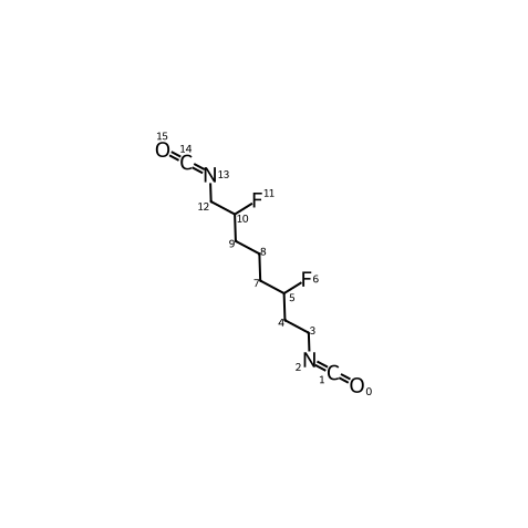 O=C=NCCC(F)CCCC(F)CN=C=O